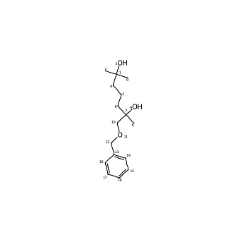 CC(C)(O)CCCC(C)(O)COCc1ccccc1